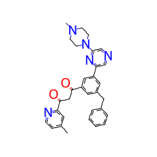 Cc1ccnc(C(=O)CC(=O)c2cc(Cc3ccccc3)cc(-c3cncc(N4CCN(C)CC4)n3)c2)c1